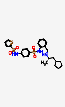 C[C@@H](CC1CCCC1)NCc1ccccc1NS(=O)(=O)c1ccc(NS(=O)(=O)c2cccs2)cc1